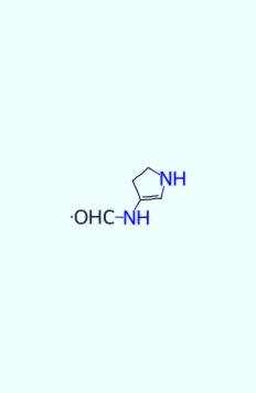 O=[C]NC1=CNCC1